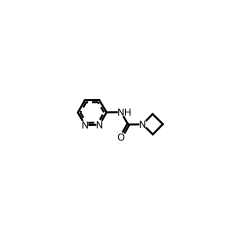 O=C(Nc1cccnn1)N1CCC1